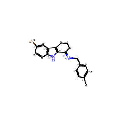 Cc1ccc(C/N=C2\CCCc3c2[nH]c2ccc(Br)cc32)cc1